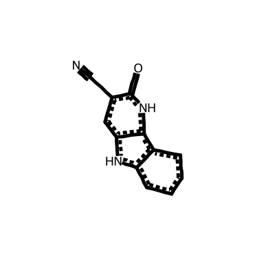 N#Cc1cc2[nH]c3ccccc3c2[nH]c1=O